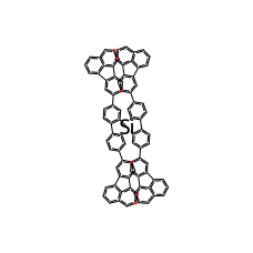 c1cc2c3c(cccc3c1)-c1cc(-c3ccc4c(c3)[Si]3(c5cc(-c6ccc7c(c6)-c6cccc8cccc-7c68)ccc5-4)c4cc(-c5ccc6c(c5)-c5cccc7cccc-6c57)ccc4-c4ccc(-c5ccc6c(c5)-c5cccc7cccc-6c57)cc43)ccc1-2